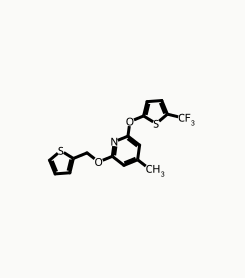 Cc1cc(OCc2cccs2)nc(Oc2ccc(C(F)(F)F)s2)c1